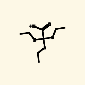 CCSC(SCC)(SCC)C([NH])=O